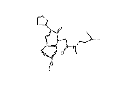 COc1ccc2cc(C3CCCC3)c(=O)n(CC(=O)N(C)CCC(C)C)c2c1